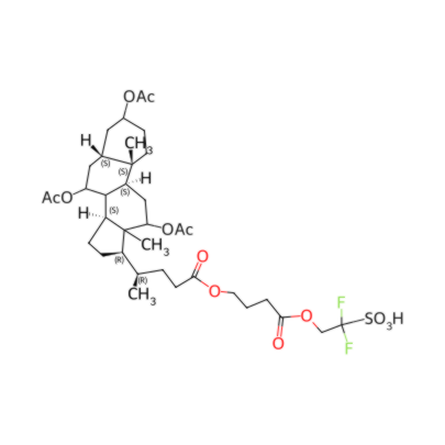 CC(=O)OC1CC[C@@]2(C)[C@@H](C1)CC(OC(C)=O)C1[C@@H]3CC[C@H]([C@H](C)CCC(=O)OCCCC(=O)OCC(F)(F)S(=O)(=O)O)C3(C)C(OC(C)=O)C[C@@H]12